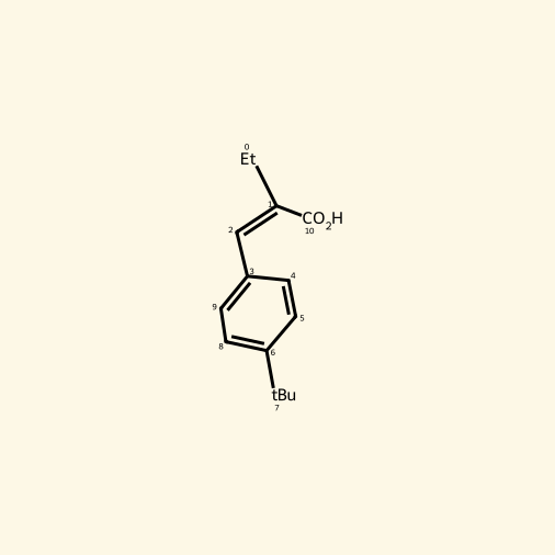 CCC(=Cc1ccc(C(C)(C)C)cc1)C(=O)O